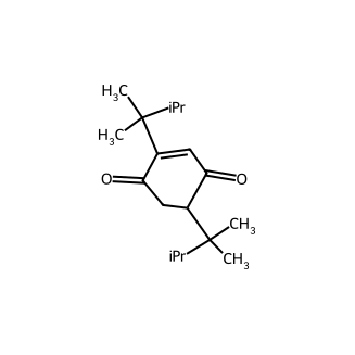 CC(C)C(C)(C)C1=CC(=O)C(C(C)(C)C(C)C)CC1=O